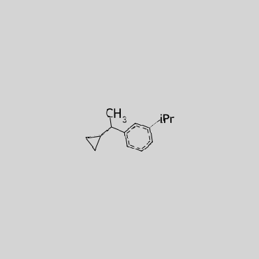 CC(C)c1cccc(C(C)C2CC2)c1